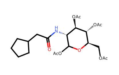 CC(=O)OC[C@H]1OC(OC(C)=O)[C@H](NC(=O)CC2CCCC2)[C@@H](OC(C)=O)[C@@H]1OC(C)=O